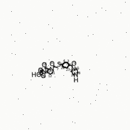 O=C(c1ccc(SCC(=O)N2CCC3C2C(=O)N3S(=O)(=O)O)cc1)N1CCNCC1